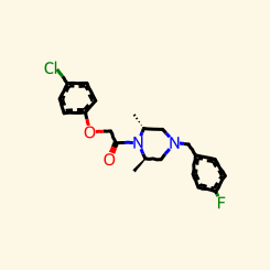 C[C@@H]1CN(Cc2ccc(F)cc2)C[C@@H](C)N1C(=O)COc1ccc(Cl)cc1